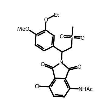 CCOc1cc(C(CS(C)(=O)=O)N2C(=O)c3c(Cl)ccc(NC(C)=O)c3C2=O)ccc1OC